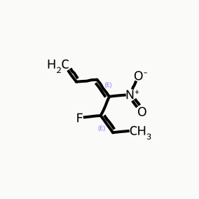 C=C/C=C(\C(F)=C/C)[N+](=O)[O-]